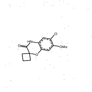 COc1cc2c(cc1Cl)NC(=O)C1(CCC1)O2